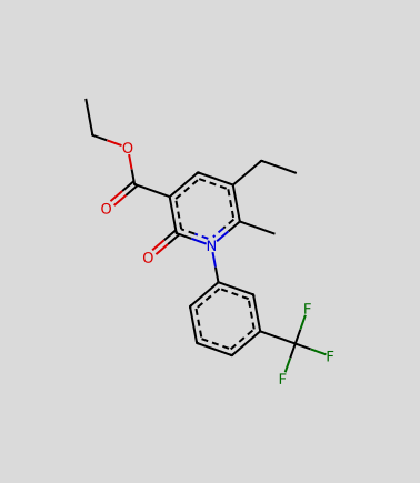 CCOC(=O)c1cc(CC)c(C)n(-c2cccc(C(F)(F)F)c2)c1=O